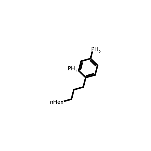 CCCCCCCCCc1ccc(P)cc1.P